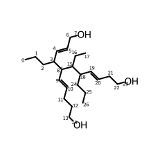 CCCC(C=CCO)[C](C=CCCCO)C(CC)C(C=CCCO)CCC